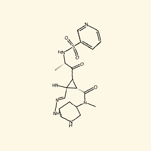 C[C@H](NS(=O)(=O)c1cccnc1)C(=O)C1[C@H](C(=O)N(C)C2CCCNC2)C1([NH])C=NN